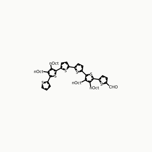 CCCCCCCCc1c(-c2cccs2)sc(-c2ccc(-c3ccc(-c4sc(-c5ccc(C=O)s5)c(CCCCCCCC)c4CCCCCCCC)s3)s2)c1CCCCCCCC